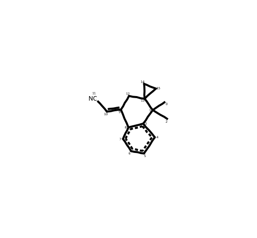 CC1(C)c2ccccc2C(=CC#N)CC12CC2